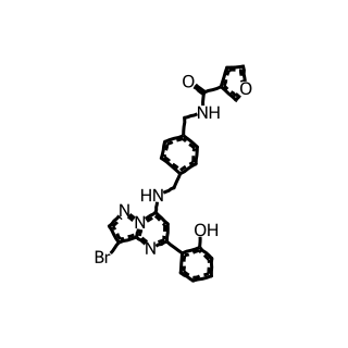 O=C(NCc1ccc(CNc2cc(-c3ccccc3O)nc3c(Br)cnn23)cc1)c1ccoc1